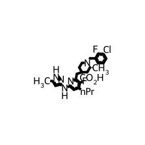 CCCc1cc(Nc2cc(C)[nH]n2)nc(C[C@@]2(C(=O)O)CCN(Cc3cccc(Cl)c3F)[C@H](C)C2)c1F